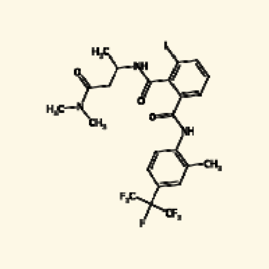 Cc1cc(C(F)(C(F)(F)F)C(F)(F)F)ccc1NC(=O)c1cccc(I)c1C(=O)NC(C)CC(=O)N(C)C